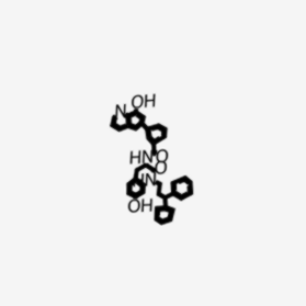 O=C(NC(Cc1ccc(O)cc1)C(=O)NCCC(c1ccccc1)c1ccccc1)c1cccc(-c2cc(O)c3ncccc3c2)c1